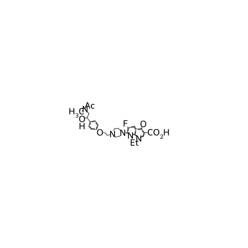 CCn1cc(C(=O)O)c(=O)c2cc(F)c(N3CCN(CCOc4ccc([C@@H](O)CN(C)C(C)=O)cc4)CC3)nc21